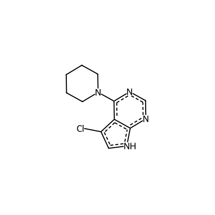 Clc1c[nH]c2ncnc(N3CCCCC3)c12